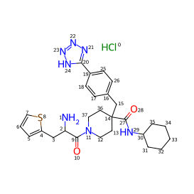 Cl.NC(Cc1cccs1)C(=O)N1CCC(Cc2ccc(-c3nnn[nH]3)cc2)(C(=O)NC2CCCCC2)CC1